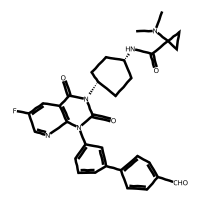 CN(C)C1(C(=O)N[C@H]2CC[C@@H](n3c(=O)c4cc(F)cnc4n(-c4cccc(-c5ccc(C=O)cc5)c4)c3=O)CC2)CC1